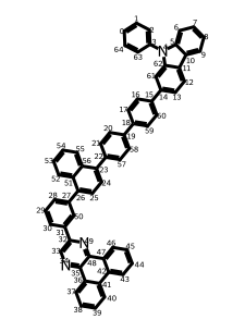 c1ccc(-n2c3ccccc3c3ccc(-c4ccc(-c5ccc(-c6ccc(-c7cccc(-c8cnc9c%10ccccc%10c%10ccccc%10c9n8)c7)c7ccccc67)cc5)cc4)cc32)cc1